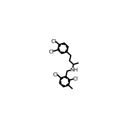 Cc1ccc(Cl)c(CNC(C)CCc2ccc(Cl)c(Cl)c2)c1Cl